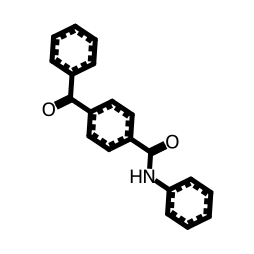 O=C(Nc1ccccc1)c1ccc(C(=O)c2ccccc2)cc1